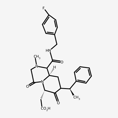 C[C@H](c1ccccc1)C1C[C@@H]2C(C(=O)NCc3ccc(F)cc3)N(C)CC(=O)N2[C@@H](CC(=O)O)C1=O